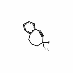 CC1(F)C#Cc2ccccc2CCC1